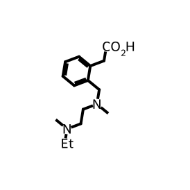 CCN(C)CCN(C)Cc1ccccc1CC(=O)O